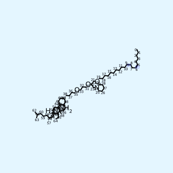 CCCCC/C=C\C/C=C\CCCCCCCCCCOCC(CN1CCCCC1)OCCCOCCCC[C@H]1CC[C@@]2(C)C(CCC3(C)[C@]2(N)CC[C@]2(C)[C@@H]([C@H](C)CCCC(C)C)CC[C@@]32N)C1